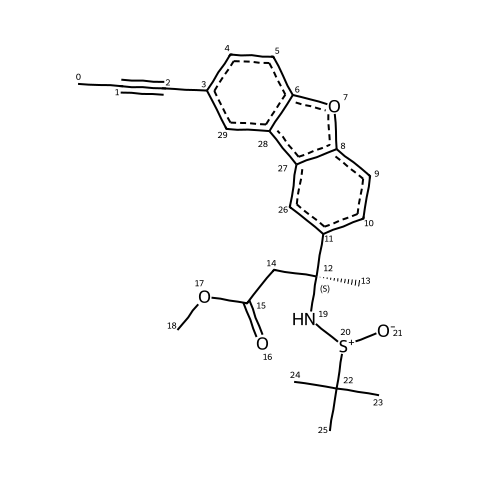 CC#Cc1ccc2oc3ccc([C@](C)(CC(=O)OC)N[S+]([O-])C(C)(C)C)cc3c2c1